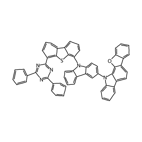 c1ccc(-c2nc(-c3ccccc3)nc(-c3cccc4c3sc3c(-n5c6ccccc6c6cc(-n7c8ccccc8c8ccc9c%10ccccc%10oc9c87)ccc65)cccc34)n2)cc1